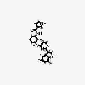 O=C(N[C@@H]1CCC[C@H](Nc2nc(-c3c[nH]c4c(F)cc(F)cc34)ncc2F)C1)c1cc[nH]n1